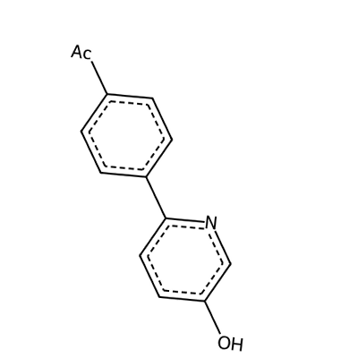 CC(=O)c1ccc(-c2ccc(O)cn2)cc1